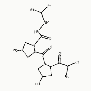 CCC(CC)NNC(=O)N1CC(O)CC1C(=O)N1CC(O)CC1C(=O)C(CC)CC